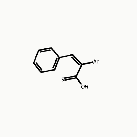 CC(=O)C(=Cc1ccccc1)C(O)=S